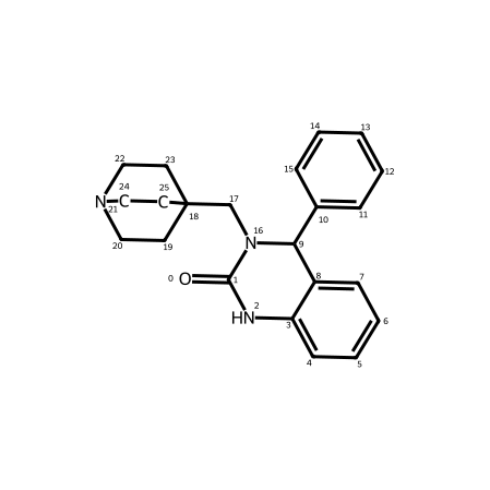 O=C1Nc2ccccc2C(c2ccccc2)N1CC12CCN(CC1)CC2